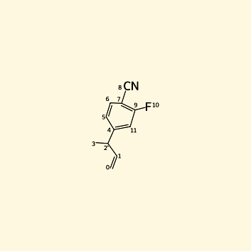 C=C[C](C)c1ccc(C#N)c(F)c1